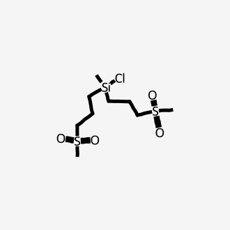 C[Si](Cl)(CCCS(C)(=O)=O)CCCS(C)(=O)=O